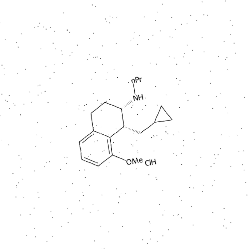 CCCN[C@H]1CCc2cccc(OC)c2[C@H]1CC1CC1.Cl